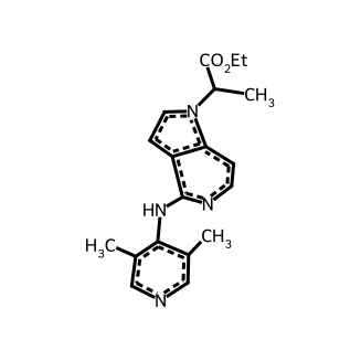 CCOC(=O)C(C)n1ccc2c(Nc3c(C)cncc3C)nccc21